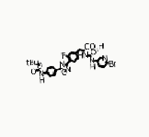 CC(C)(C)OC(=O)Nc1ccc(-c2nc(-c3ccc(CC(NC(=O)Nc4ccc(Br)nc4)C(=O)O)cc3F)no2)cc1